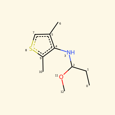 CCC(Nc1c(C)csc1C)OC